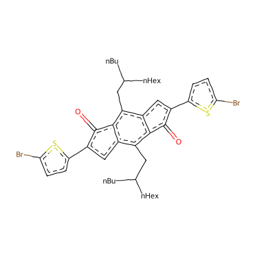 CCCCCCC(CCCC)Cc1c2cc(-c3ccc(Br)s3)c(=O)c2c(CC(CCCC)CCCCCC)c2cc(-c3ccc(Br)s3)c(=O)c12